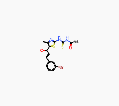 CCC(=O)NC(=S)Nc1nc(C)c(C(=O)C=Cc2cccc(Br)c2)s1